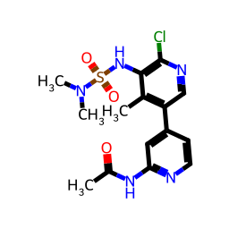 CC(=O)Nc1cc(-c2cnc(Cl)c(NS(=O)(=O)N(C)C)c2C)ccn1